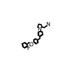 N#CCC1CCCN1c1ccc(Cc2ccc(OCc3ccccc3F)cc2)cc1